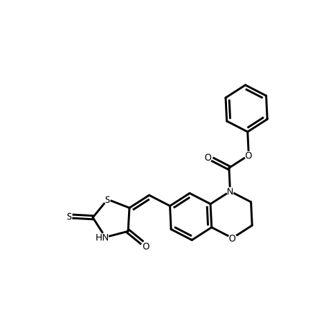 O=C1NC(=S)S/C1=C/c1ccc2c(c1)N(C(=O)Oc1ccccc1)CCO2